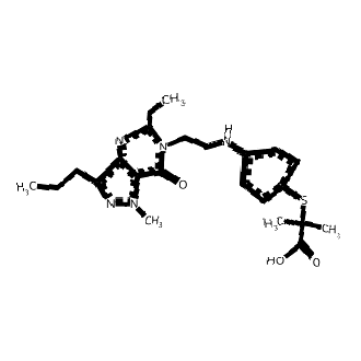 CCCc1nn(C)c2c(=O)n(CCNc3ccc(SC(C)(C)C(=O)O)cc3)c(CC)nc12